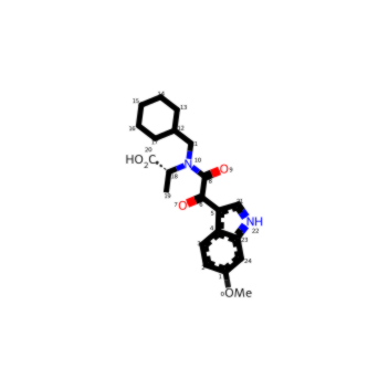 COc1ccc2c(C(=O)C(=O)N(CC3CCCCC3)[C@H](C)C(=O)O)c[nH]c2c1